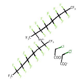 FC(F)(F)C(F)(F)C(F)(F)C(F)(F)C(F)(F)C(F)(F)[C](F)([Sn+2][C](F)(C(F)(F)F)C(F)(F)C(F)(F)C(F)(F)C(F)(F)C(F)(F)C(F)(F)F)C(F)(F)F.O=C([O-])CCl.O=C([O-])CCl